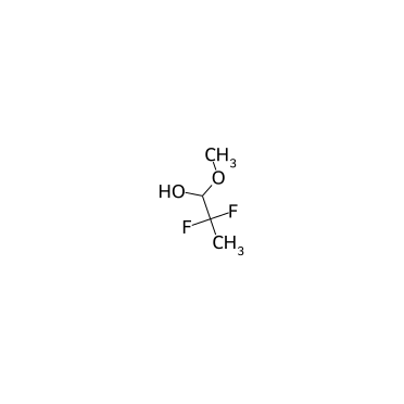 COC(O)C(C)(F)F